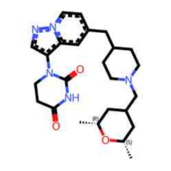 C[C@@H]1CC(CN2CCC(Cc3ccn4ncc(N5CCC(=O)NC5=O)c4c3)CC2)C[C@H](C)O1